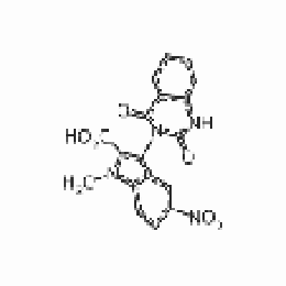 Cn1c(C(=O)O)c(-n2c(=O)[nH]c3ccccc3c2=O)c2cc([N+](=O)[O-])ccc21